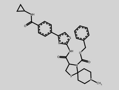 CN1CCC2(CC1)SCC(C(=O)Nc1nc(-c3ccc(C(=O)NC4CC4)cc3)cs1)N2C(=O)OCc1ccccc1